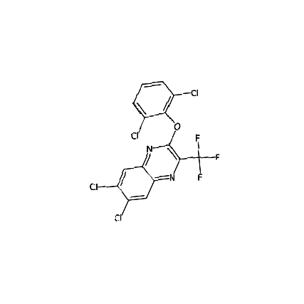 FC(F)(F)c1nc2cc(Cl)c(Cl)cc2nc1Oc1c(Cl)cccc1Cl